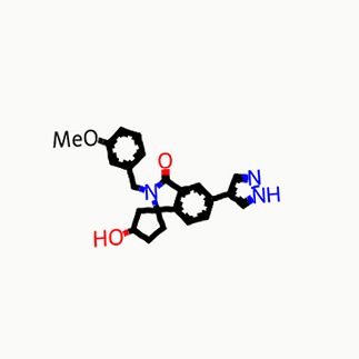 COc1cccc(CN2C(=O)c3cc(-c4cn[nH]c4)ccc3C23CCC(O)C3)c1